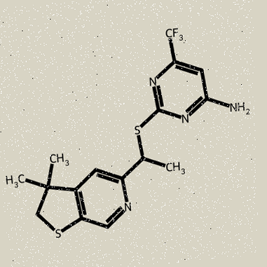 CC(Sc1nc(N)cc(C(F)(F)F)n1)c1cc2c(cn1)SCC2(C)C